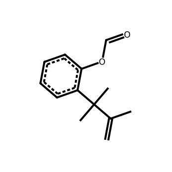 C=C(C)C(C)(C)c1ccccc1OC=O